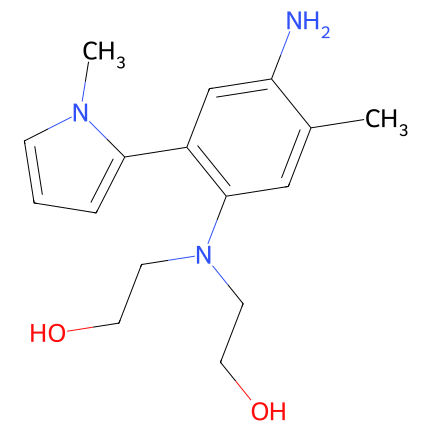 Cc1cc(N(CCO)CCO)c(-c2cccn2C)cc1N